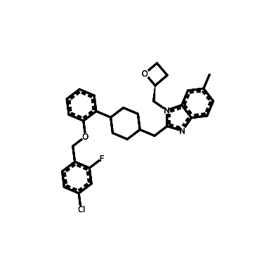 Cc1ccc2nc(CC3CCC(c4ccccc4OCc4ccc(Cl)cc4F)CC3)n(C[C@@H]3CCO3)c2c1